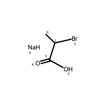 CC(Br)C(=O)O.[NaH]